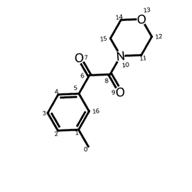 Cc1cccc(C(=O)C(=O)N2CCOCC2)c1